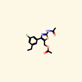 CCc1cc(F)cc(-c2nc(NC(C)=O)sc2COC(C)=O)c1